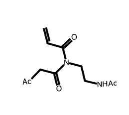 C=CC(=O)N(CCNC(C)=O)C(=O)CC(C)=O